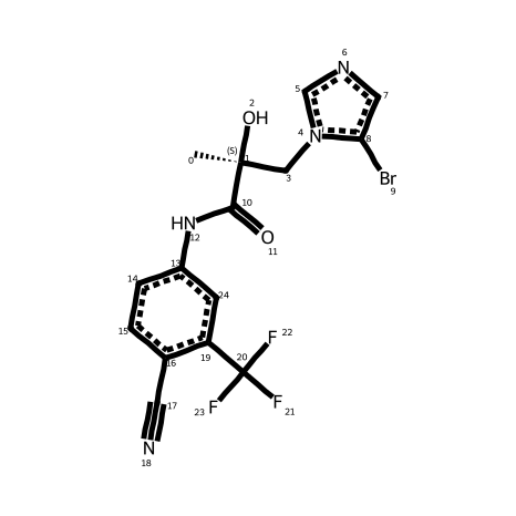 C[C@](O)(Cn1cncc1Br)C(=O)Nc1ccc(C#N)c(C(F)(F)F)c1